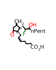 C=C1CC(=O)[C@H](C/C=C\CCCC(=O)O)[C@H]1CC(F)[C@@H](O)CCCCC